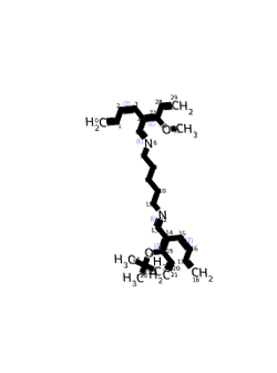 C=C\C=C/C(/C=N/CCCCC/N=C/C(/C=C\C=C)=C(/C=C)OC(C)(C)C)=C(\C=C)OC